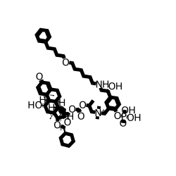 CC(C[N+](C)(C)Cc1cc(C(O)CNCCCCCCOCCCCc2ccccc2)ccc1OP(=O)(O)O)OC(=O)OCC(=O)[C@@]12O[C@H](C3CCCCC3)O[C@@H]1C[C@H]1[C@@H]3CCC4=CC(=O)C=C[C@]4(C)[C@H]3[C@@H](O)C[C@@]12C